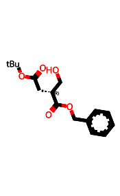 CC(C)(C)OC(=O)C[C@H](CO)C(=O)OCc1ccccc1